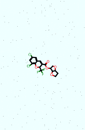 O=C(OC1COC2CCOC21)C1=Cc2cc(Cl)cc(Cl)c2OC1C(F)(F)F